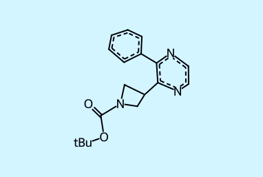 CC(C)(C)OC(=O)N1CC(c2nccnc2-c2ccccc2)C1